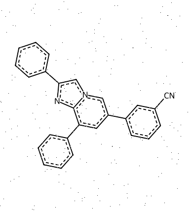 N#Cc1cccc(-c2cc(-c3ccccc3)c3nc(-c4ccccc4)cn3c2)c1